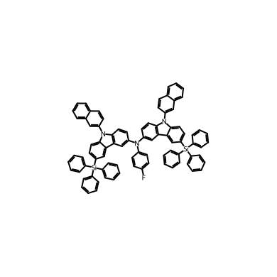 Fc1ccc(N(c2ccc3c(c2)c2cc([Si](c4ccccc4)(c4ccccc4)c4ccccc4)ccc2n3-c2ccc3ccccc3c2)c2ccc3c(c2)c2cc([Si](c4ccccc4)(c4ccccc4)c4ccccc4)ccc2n3-c2ccc3ccccc3c2)cc1